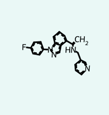 C=C(NCc1cccnc1)c1cccc2c1cnn2-c1ccc(F)cc1